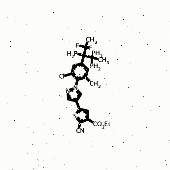 CCOC(=O)c1cc(-c2cnn(-c3c(C)cc(C(P)(C(C)(F)F)C(C)(P)P)cc3Cl)c2)sc1C#N